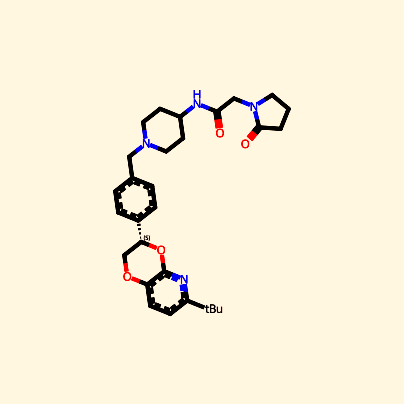 CC(C)(C)c1ccc2c(n1)O[C@@H](c1ccc(CN3CCC(NC(=O)CN4CCCC4=O)CC3)cc1)CO2